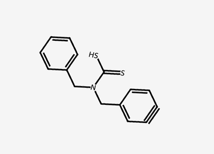 S=C(S)N(Cc1cc#ccc1)Cc1ccccc1